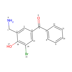 NCc1cc(C(=O)c2ccccc2)cc(Br)c1O